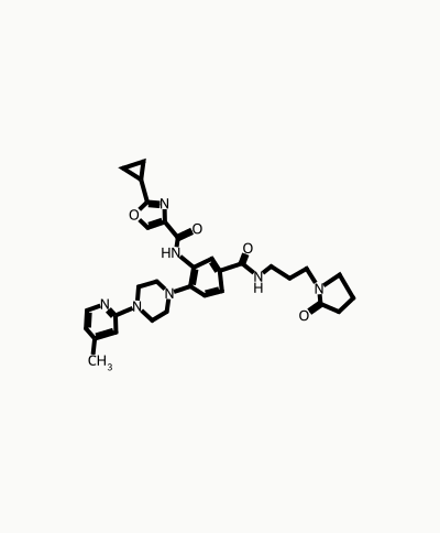 Cc1ccnc(N2CCN(c3ccc(C(=O)NCCCN4CCCC4=O)cc3NC(=O)c3coc(C4CC4)n3)CC2)c1